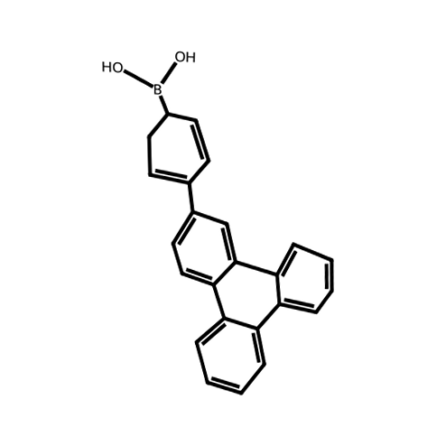 OB(O)C1C=CC(c2ccc3c4ccccc4c4ccccc4c3c2)=CC1